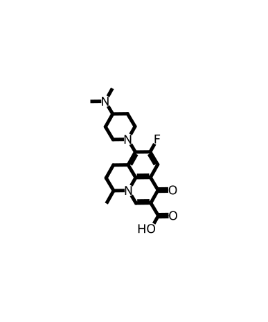 CC1CCc2c(N3CCC(N(C)C)CC3)c(F)cc3c(=O)c(C(=O)O)cn1c23